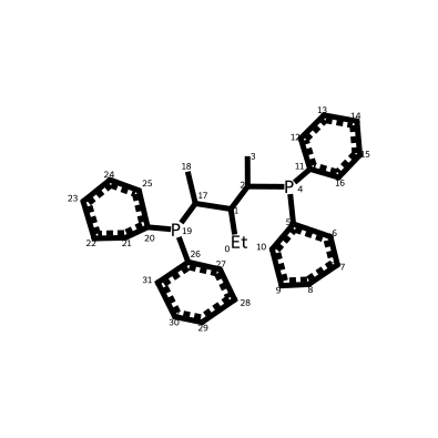 CCC(C(C)P(c1ccccc1)c1ccccc1)C(C)P(c1ccccc1)c1ccccc1